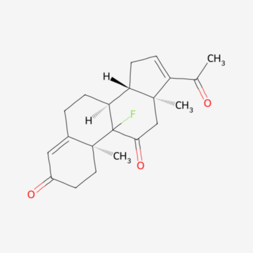 CC(=O)C1=CC[C@H]2[C@@H]3CCC4=CC(=O)CC[C@]4(C)C3(F)C(=O)C[C@]12C